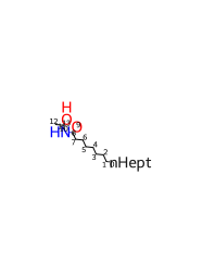 CCCCCCCCCCCCCCC(=O)NC(C)O